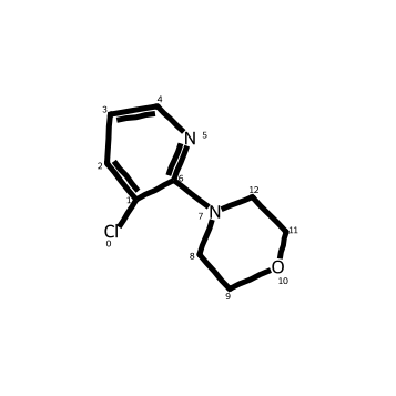 Clc1cccnc1N1CCOCC1